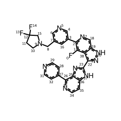 Fc1c(-c2cncc(CN3CCC(F)(F)C3)c2)ncc2[nH]nc(-c3nc4c(-c5ccncc5)nccc4[nH]3)c12